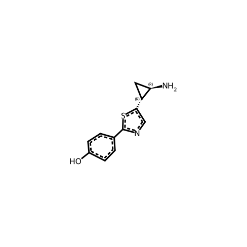 N[C@@H]1C[C@H]1c1cnc(-c2ccc(O)cc2)s1